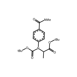 CNC(=O)c1ccc(N(C(=O)OC(C)(C)C)C(C)C(=O)OC(C)(C)C)cc1